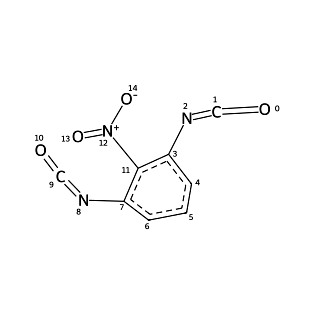 O=C=Nc1cccc(N=C=O)c1[N+](=O)[O-]